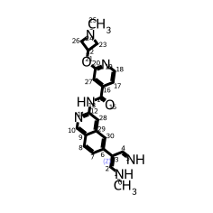 CN/C=C(\C=N)c1ccc2cnc(NC(=O)c3ccnc(OC4CN(C)C4)c3)cc2c1